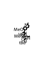 C=CCC(COC)(NC(=O)OC(C)(C)C)c1nc(-c2cc3ccc(C)nc3cc2OC)c[nH]1